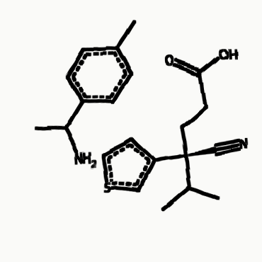 CC(C)[C@@](C#N)(CCC(=O)O)c1ccsc1.Cc1ccc(C(C)N)cc1